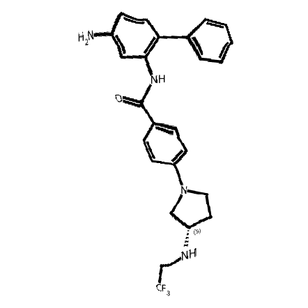 Nc1ccc(-c2ccccc2)c(NC(=O)c2ccc(N3CC[C@H](NCC(F)(F)F)C3)cc2)c1